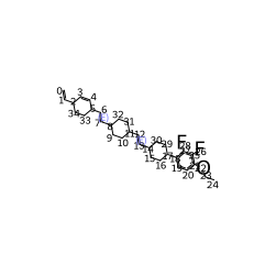 C=CC1C=CC(/C=C/C2CCC(/C=C/C3CCC(c4ccc(OCC)c(F)c4F)CC3)CC2)CC1